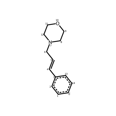 [c]1ccc(C=CCN2CCOCC2)cc1